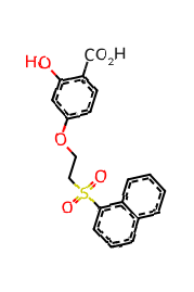 O=C(O)c1ccc(OCCS(=O)(=O)c2cccc3ccccc23)cc1O